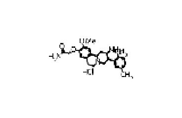 COc1cc2c(cc1OCC(N)=O)CCN1CC(c3cc(C)ccc3C)C(N)CC21.Cl